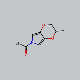 CCC(=O)n1cc2c(c1)OC(C)CO2